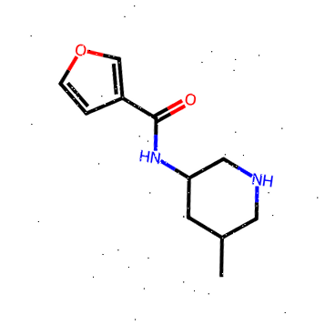 CC1[CH]C(NC(=O)c2ccoc2)CNC1